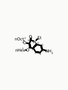 CCCCCCCCOc1c(OCCCCCC)c2ccc(N)cc2n(CC)c1=O